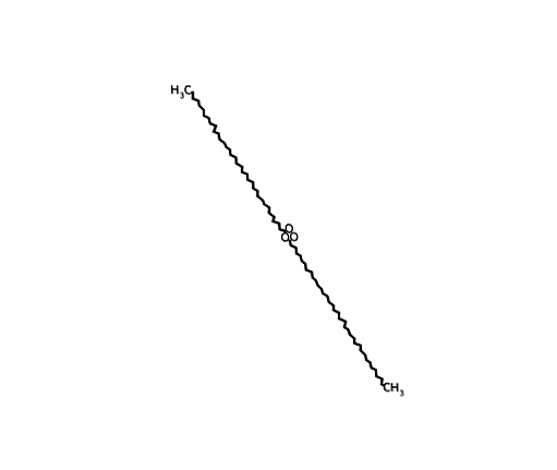 CCCCCCCCCCCCCCCCCCCCCCCCCCCCCCCCCCCCC(=O)OC(=O)CCCCCCCCCCCCCCCCCCCCCCCCCCCCCCCCCCC